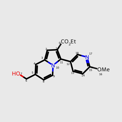 CCOC(=O)c1cc2cc(CO)ccn2c1-c1ccc(OC)nc1